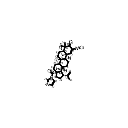 [C-]#[N+]C1=C[C@]2(C)[C@H]3CC[C@@H]4[C@H]5[C@H](C(=C)C)CC[C@]5(C(=O)n5ccnc5)CC[C@@]4(C)[C@]3(C)CC[C@H]2C(C)(C)C1=O